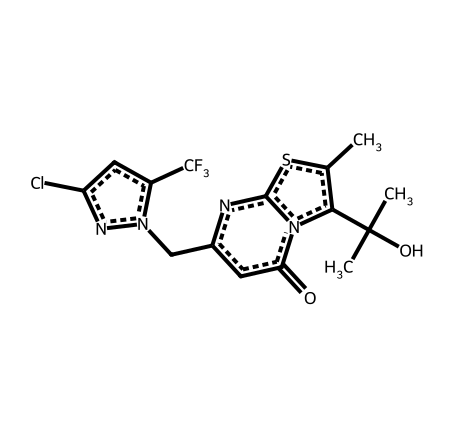 Cc1sc2nc(Cn3nc(Cl)cc3C(F)(F)F)cc(=O)n2c1C(C)(C)O